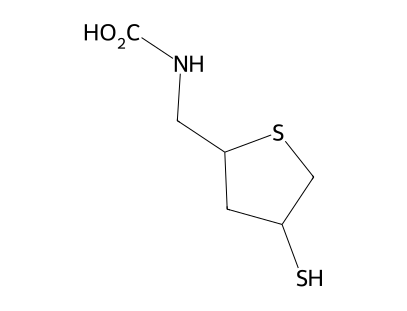 O=C(O)NCC1CC(S)CS1